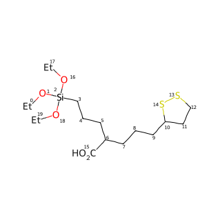 CCO[Si](CCCC(CCCC1CCSS1)C(=O)O)(OCC)OCC